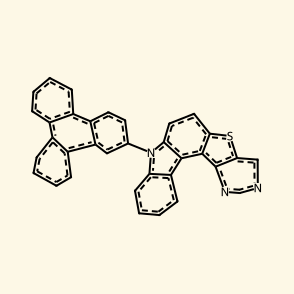 c1ccc2c(c1)c1ccccc1c1cc(-n3c4ccccc4c4c5c(ccc43)sc3cncnc35)ccc21